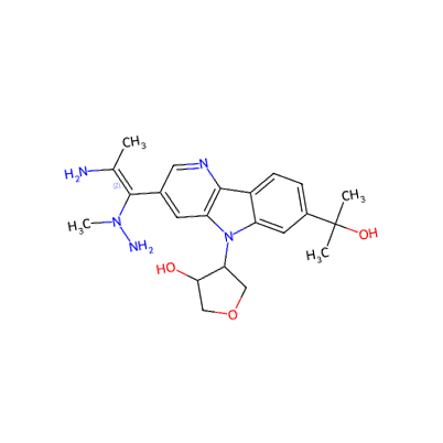 C/C(N)=C(\c1cnc2c3ccc(C(C)(C)O)cc3n(C3COCC3O)c2c1)N(C)N